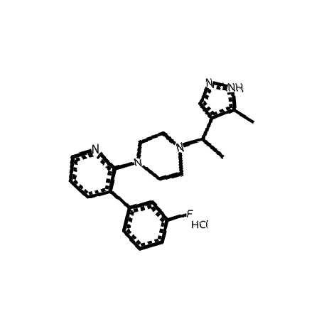 Cc1[nH]ncc1C(C)N1CCN(c2ncccc2-c2cccc(F)c2)CC1.Cl